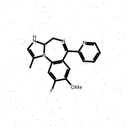 COc1cc2c(cc1F)N1C(C)=CNC1CN=C2c1ccccn1